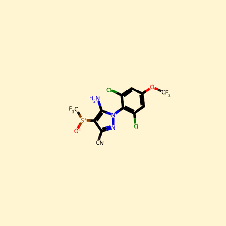 N#Cc1nn(-c2c(Cl)cc(OC(F)(F)F)cc2Cl)c(N)c1[S+]([O-])C(F)(F)F